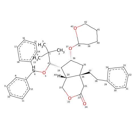 CC(C)(C)C(O[SiH](c1ccccc1)c1ccccc1)[C@H]1[C@H]2COC(=O)C[C@@]2(CCc2ccccc2)C[C@H]1OC1CCCCO1